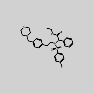 CCNC(=O)[C@@H](c1ccccc1)N(CCc1ccc(CN2CCOCC2)cc1)S(=O)(=O)c1ccc(Cl)cc1